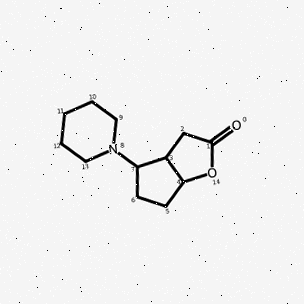 O=C1CC2C(CCC2N2CCCCC2)O1